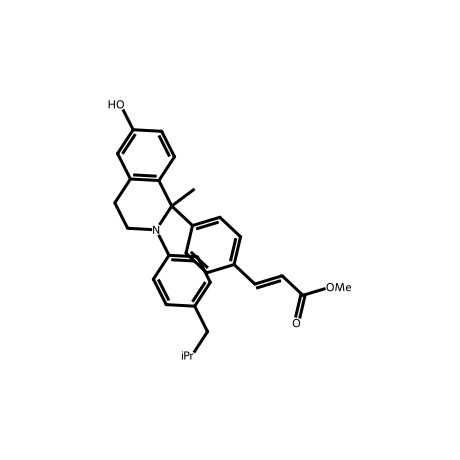 COC(=O)/C=C/c1ccc(C2(C)c3ccc(O)cc3CCN2c2ccc(CC(C)C)cc2)cc1